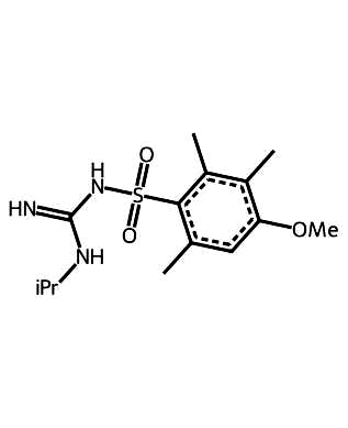 COc1cc(C)c(S(=O)(=O)NC(=N)NC(C)C)c(C)c1C